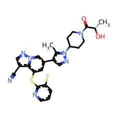 Cc1c(-c2cc(Sc3ncccc3F)c3c(C#N)cnn3c2)cnn1C1CCN(C(=O)[C@H](C)O)CC1